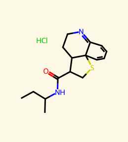 CCC(C)NC(=O)C1CSC23C=CC=CC2=NCCC13.Cl